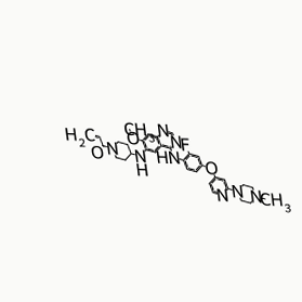 C=CC(=O)N1CCC(Nc2cc3c(Nc4ccc(Oc5ccnc(N6CCN(C)CC6)c5)cc4F)ncnc3cc2OC)CC1